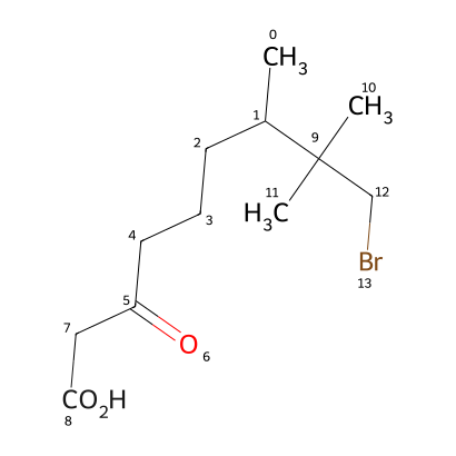 CC(CCCC(=O)CC(=O)O)C(C)(C)CBr